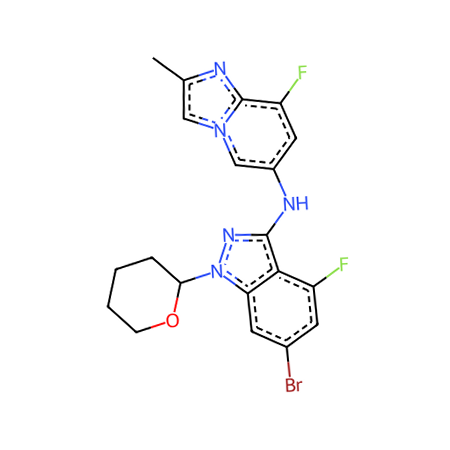 Cc1cn2cc(Nc3nn(C4CCCCO4)c4cc(Br)cc(F)c34)cc(F)c2n1